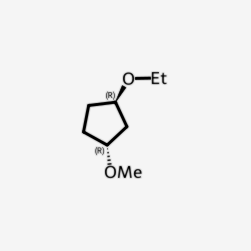 CCO[C@@H]1CC[C@@H](OC)C1